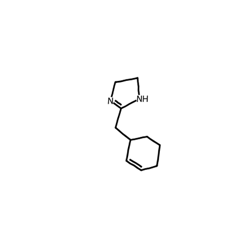 C1=CC(CC2=NCCN2)CCC1